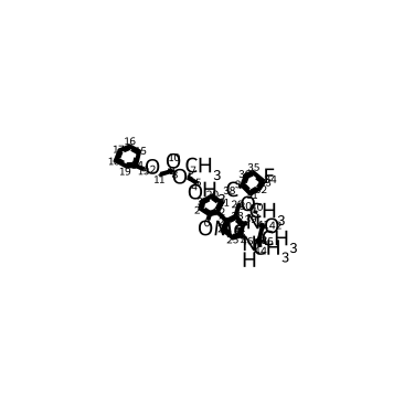 COc1cc(OC[C@H](C)OC(=O)COCc2ccccc2)ccc1-c1ccc2c(c1COc1cc(F)ccc1C)N(C)C(=O)C(C)(C)N2